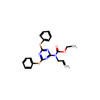 C=CCN(C(=O)OCC)c1nc(Sc2ccccc2)nc(Sc2ccccc2)n1